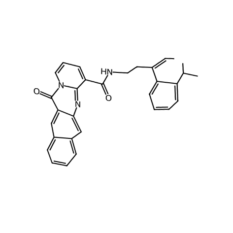 C/C=C(/CCNC(=O)c1cccn2c(=O)c3cc4ccccc4cc3nc12)c1ccccc1C(C)C